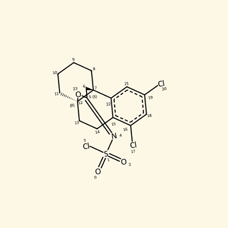 O=S(=O)(Cl)N=C1C[C@]23CCCC[C@]2(CCc2c(Cl)cc(Cl)cc23)O1